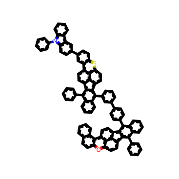 c1ccc(-c2c3ccccc3c(-c3ccc(-c4cccc(-c5c6ccccc6c(-c6ccccc6)c6c7ccc8c9cc(-c%10ccc%11c(c%10)c%10ccccc%10n%11-c%10ccccc%10)ccc9sc9ccc(c56)c7c98)c4)cc3)c3c4ccc5c6c(ccc7ccccc76)oc6ccc(c23)c4c65)cc1